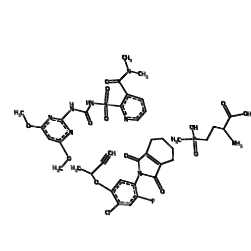 C#CC(C)Oc1cc(N2C(=O)C3=C(CCCC3)C2=O)c(F)cc1Cl.COc1cc(OC)nc(NC(=O)NS(=O)(=O)c2ncccc2C(=O)N(C)C)n1.CP(=O)(O)CCC(N)C(=O)O